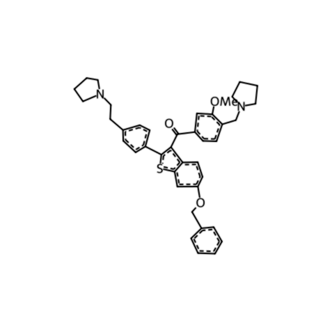 COc1cc(C(=O)c2c(-c3ccc(CCN4CCCC4)cc3)sc3cc(OCc4ccccc4)ccc23)ccc1CN1CCCC1